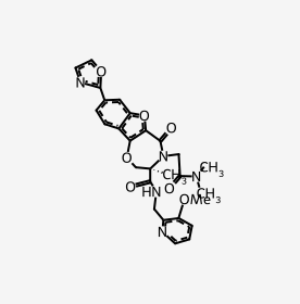 COc1cccnc1CNC(=O)[C@@]1(C)COc2c(oc3cc(-c4ncco4)ccc23)C(=O)N1CC(=O)N(C)C